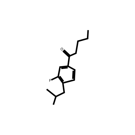 CCCCC(=O)c1ccc(CC(C)C)c(F)c1